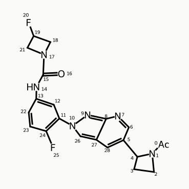 CC(=O)N1CCC1c1cnc2nn(-c3cc(NC(=O)N4CC(F)C4)ccc3F)cc2c1